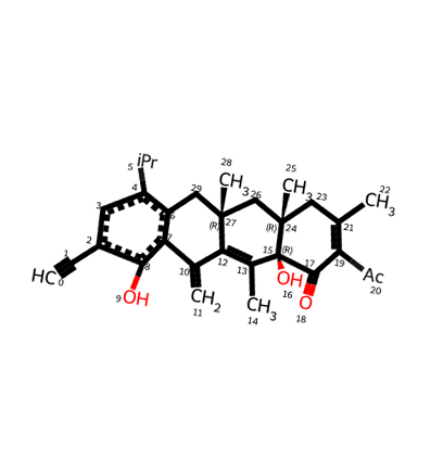 C#Cc1cc(C(C)C)c2c(c1O)C(=C)C1=C(C)[C@@]3(O)C(=O)C(C(C)=O)=C(C)C[C@@]3(C)C[C@@]1(C)C2